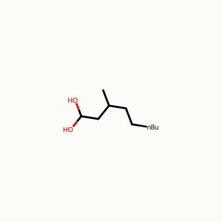 CCCCCCC(C)CC(O)O